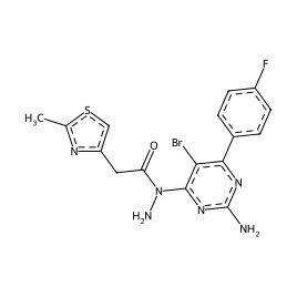 Cc1nc(CC(=O)N(N)c2nc(N)nc(-c3ccc(F)cc3)c2Br)cs1